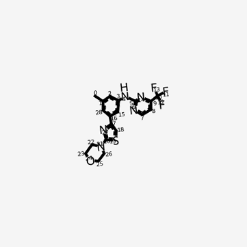 Cc1cc(Nc2nccc(C(F)(F)F)n2)cc(-c2csc(N3CCOCC3)n2)c1